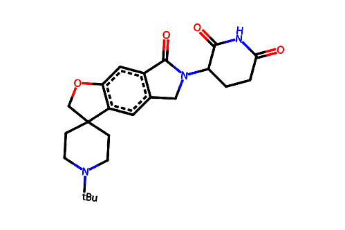 CC(C)(C)N1CCC2(CC1)COc1cc3c(cc12)CN(C1CCC(=O)NC1=O)C3=O